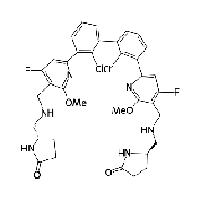 COc1nc(-c2cccc(-c3cccc(-c4cc(F)c(CNC[C@@H]5CCC(=O)N5)c(OC)n4)c3Cl)c2Cl)cc(F)c1CNC[C@H]1CCC(=O)N1